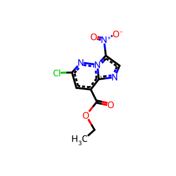 CCOC(=O)c1cc(Cl)nn2c([N+](=O)[O-])cnc12